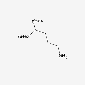 CCCCCCC(CCCN)CCCCCC